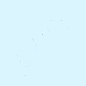 CC1CCCCN1Cc1ccc2nc(Cn3cc(-c4cncc(-n5cccc5)c4)nn3)cn2c1